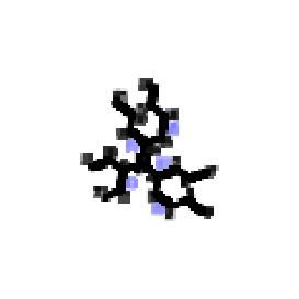 C=C/C=C\C(=C/C=C)N(/C(C=C)=C/C)C(/C=C\C=C)=C/C=C